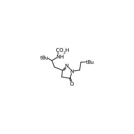 CC(C)(C)CCN1N=C(CC(NC(=O)O)C(C)(C)C)CC1=O